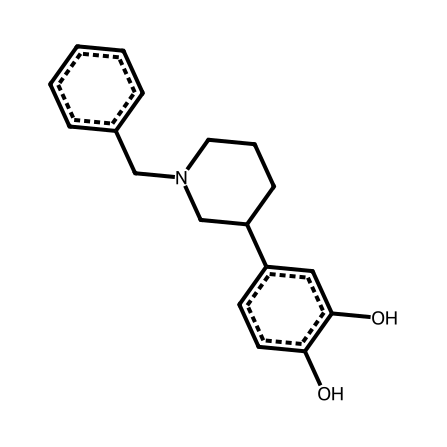 Oc1ccc(C2CCCN(Cc3ccccc3)C2)cc1O